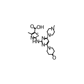 Cc1nc(Nc2nc(N3CCC(=O)CC3)cc(N3CCN(C)CC3)n2)sc1C(=O)O